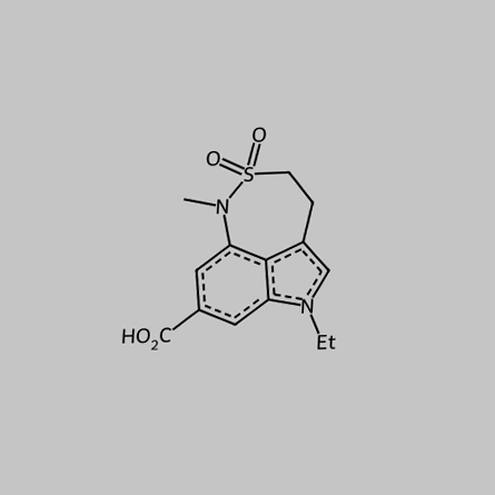 CCn1cc2c3c(cc(C(=O)O)cc31)N(C)S(=O)(=O)CC2